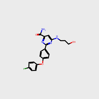 NC(=O)c1cc(NCCCO)nc(-c2ccc(Oc3ccc(F)cc3)cc2)n1